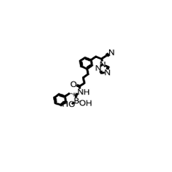 N#CC(Cc1cccc(CCCC(=O)N[C@@H](Cc2ccccc2)B(O)O)c1)n1cncn1